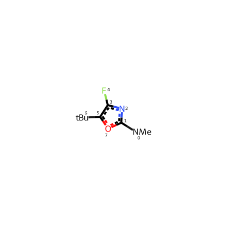 CNc1nc(F)c(C(C)(C)C)o1